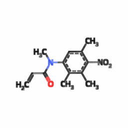 C=CC(=O)N(C)c1cc(C)c([N+](=O)[O-])c(C)c1C